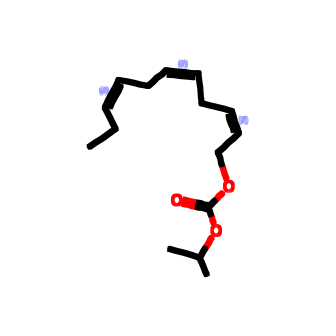 CC/C=C\C/C=C\C/C=C\COC(=O)OC(C)C